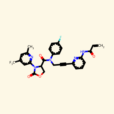 C=CC(=O)Nc1cccc(C#CCN(C(=O)C2COC(=O)N2c2cc(C(F)(F)F)cc(C)n2)c2ccc(F)cc2)n1